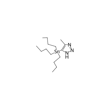 CCC[CH2][Sn]([CH2]CCC)([CH2]CCC)[c]1[nH]nnc1C